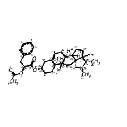 CC(=O)O[C@@H](Cc1ccccc1)C(=O)O[C@H]1CC[C@@]2(C)C(=CC[C@H]3[C@@H]4CC[C@@H]5[C@H](C)N(C)C[C@@]54CC[C@@H]32)C1